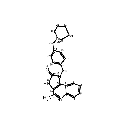 Nc1nc2ccccc2c2c1[nH]c(=O)n2Cc1ccc(CN2CCCCC2)cc1